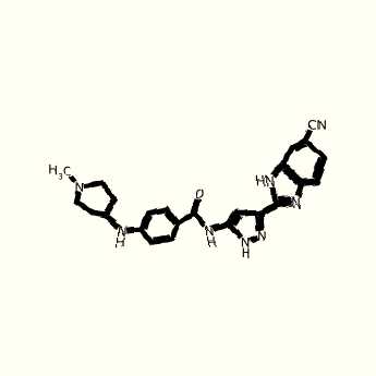 CN1CCC(Nc2ccc(C(=O)Nc3cc(-c4nc5ccc(C#N)cc5[nH]4)n[nH]3)cc2)CC1